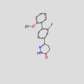 CCOc1ccccc1-c1ccc(C2=NNC(=O)CC2)cc1F